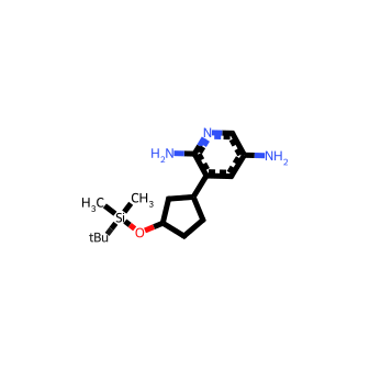 CC(C)(C)[Si](C)(C)OC1CCC(c2cc(N)cnc2N)C1